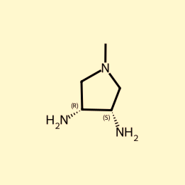 CN1C[C@@H](N)[C@@H](N)C1